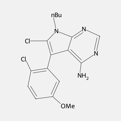 CCCCn1c(Cl)c(-c2cc(OC)ccc2Cl)c2c(N)ncnc21